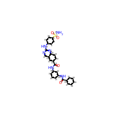 NS(=O)(=O)c1ccc(Nc2ncc3cc(C(=O)Nc4cccc(NC(=O)c5ccccc5)c4)ccc3n2)cc1